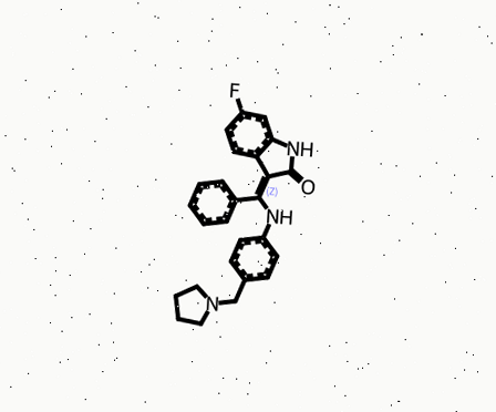 O=C1Nc2cc(F)ccc2/C1=C(/Nc1ccc(CN2CCCC2)cc1)c1ccccc1